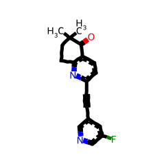 CC1(C)CCc2nc(C#Cc3cncc(F)c3)ccc2C1=O